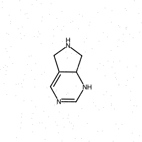 C1=NC=C2CNCC2N1